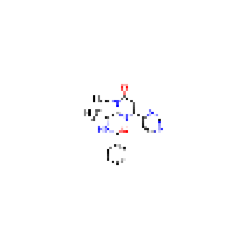 CC(NC(=O)c1ccccc1)c1nc(-c2ccncn2)cc(=O)n1C